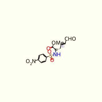 COC(=O)[C@H](C/C=C/C=O)NS(=O)(=O)c1ccc([N+](=O)[O-])cc1